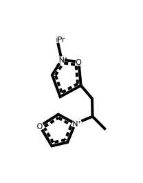 CC(Cc1cc[n+](C(C)C)o1)[n+]1ccoc1